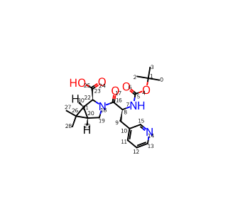 CC(C)(C)OC(=O)N[C@@H](Cc1cccnc1)C(=O)N1C[C@H]2[C@@H]([C@H]1C(=O)O)C2(C)C